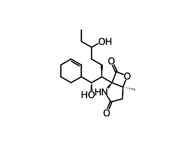 CCC(O)CC[C@H]([C@@H](O)C1C=CCCC1)[C@@]12NC(=O)C[C@]1(C)OC2=O